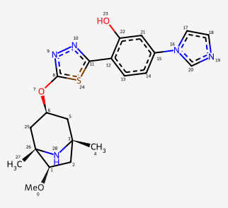 CO[C@@H]1C[C@@]2(C)C[C@H](Oc3nnc(-c4ccc(-n5ccnc5)cc4O)s3)C[C@]1(C)N2